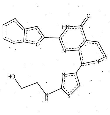 O=c1[nH]c(-c2cc3ccccc3o2)nc2c(-c3csc(NCCO)n3)nccc12